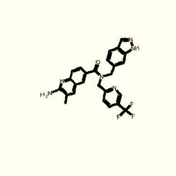 Cc1cc2cc(C(=O)N(Cc3ccc4cn[nH]c4c3)Cc3ccc(C(F)(F)F)cn3)ccc2nc1N